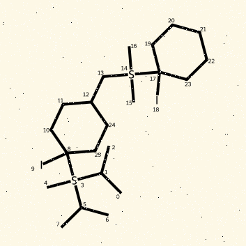 CC(C)S(C)(C(C)C)C1(I)CCC(CS(C)(C)C2(I)CCCCC2)CC1